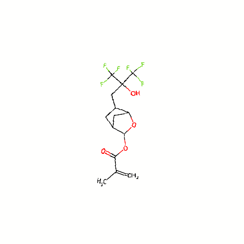 C=C(C)C(=O)OC1OC2CC1CC2CC(O)(C(F)(F)F)C(F)(F)F